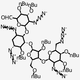 CCCCOC[C@H]1O[C@@H](O[C@@H]2C(OCCCC)[C@H](N=[N+]=[N-])CC(N=[N+]=[N-])[C@H]2O[C@H]2OC(C=O)[C@@H](OCCCC)[C@H](OCCCC)C2N=[N+]=[N-])C(OCCCC)[C@H]1O[C@H]1O[C@@H](CN=[N+]=[N-])[C@@H](OCCCC)C(OCCCC)C1N=[N+]=[N-]